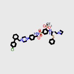 O=C(NS(=O)(=O)c1ccc(N[C@H](CCN2CCC2)CSc2ccccc2)c(S(=O)(=O)C(F)(F)F)c1)c1ccc(N2CCN(CC3=C(c4ccc(Cl)cc4)CCCC3)CC2)cc1